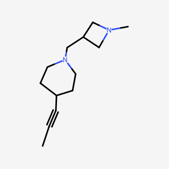 CC#CC1CCN(CC2CN(C)C2)CC1